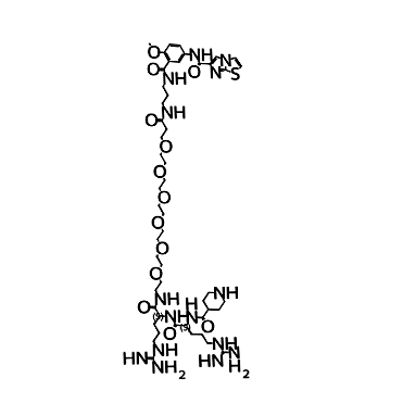 COc1ccc(NC(=O)c2cn3ccsc3n2)cc1C(=O)NCCCNC(=O)CCOCCOCCOCCOCCOCCOCCNC(=O)[C@H](CCCNC(=N)N)NC(=O)[C@H](CCCNC(=N)N)NC(=O)C1CCNCC1